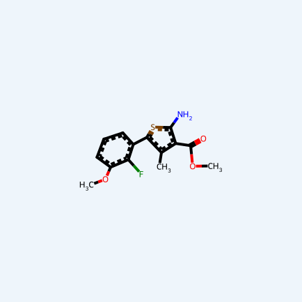 COC(=O)c1c(N)sc(-c2cccc(OC)c2F)c1C